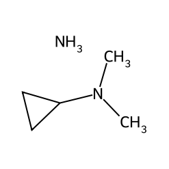 CN(C)C1CC1.N